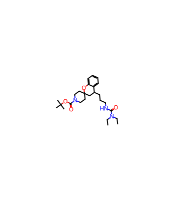 CCN(CC)C(=O)NCCCC1CC2(CCN(C(=O)OC(C)(C)C)CC2)Oc2ccccc21